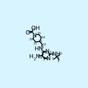 CC(C)(C)Nc1ncc(N)c(NCC2CCN(C(=O)O)CC2)n1